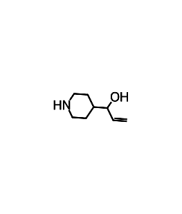 C=CC(O)C1CCNCC1